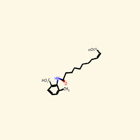 CCCCCCCC/C=C\CCCCCCCC(=O)Nc1c(C)cccc1C(=O)O